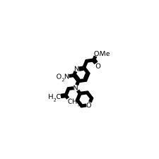 C=C(C)CN(c1ccc(CC(=O)OC)nc1[N+](=O)[O-])C1CCOCC1